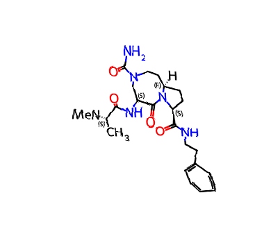 CN[C@@H](C)C(=O)N[C@H]1CN(C(N)=O)CC[C@H]2CC[C@@H](C(=O)NCCc3ccccc3)N2C1=O